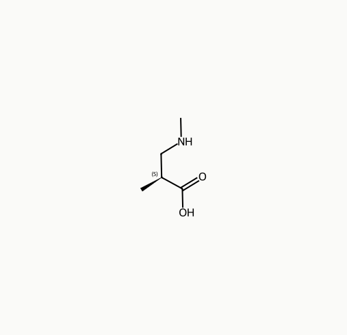 CNC[C@H](C)C(=O)O